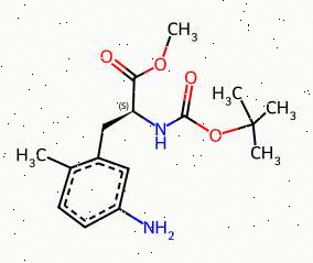 COC(=O)[C@H](Cc1cc(N)ccc1C)NC(=O)OC(C)(C)C